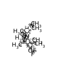 Cc1cc(CN(C)C)ccc1S(N)(=O)=NC(=O)Cc1c(C(C)C)cc(OC(F)F)cc1C1CC1C